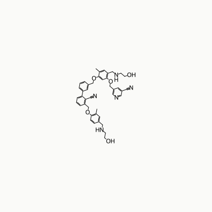 Cc1cc(CNCCO)c(OCc2cncc(C#N)c2)cc1OCc1cccc(-c2cccc(COc3ccc(CNCCO)cc3C)c2C#N)c1